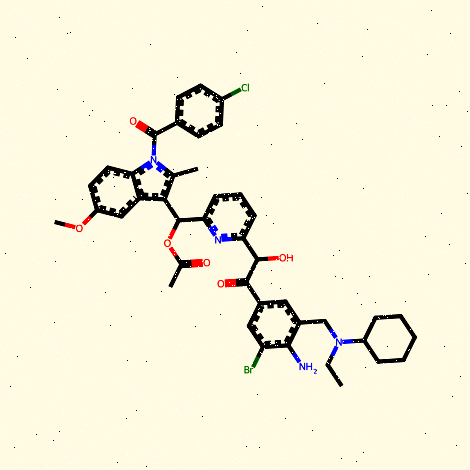 CCN(Cc1cc(C(=O)C(O)c2cccc(C(OC(C)=O)c3c(C)n(C(=O)c4ccc(Cl)cc4)c4ccc(OC)cc34)n2)cc(Br)c1N)C1CCCCC1